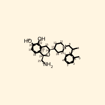 Cc1ccccc1C(C)CN1CCC([C@@H]2Cc3c(ccc(O)c3O)[C@H](CN)O2)CC1